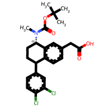 CN(C(=O)OC(C)(C)C)[C@H]1CCC(c2ccc(Cl)c(Cl)c2)c2ccc(CC(=O)O)cc21